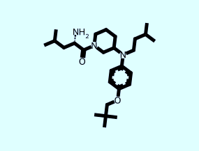 CC(C)CCN(c1ccc(OCC(C)(C)C)cc1)C1CCCN(C(=O)[C@@H](N)CC(C)C)C1